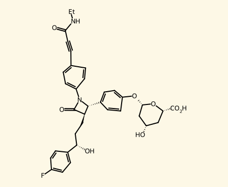 CCNC(=O)C#Cc1ccc(N2C(=O)[C@H](CC[C@H](O)c3ccc(F)cc3)[C@H]2c2ccc(O[C@H]3C[C@@H](O)C[C@@H](C(=O)O)O3)cc2)cc1